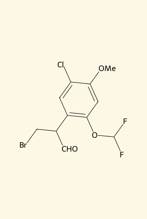 COc1cc(OC(F)F)c(C(C=O)CBr)cc1Cl